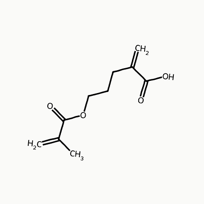 C=C(C)C(=O)OCCCC(=C)C(=O)O